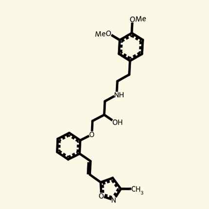 COc1ccc(CCNCC(O)COc2ccccc2C=Cc2cc(C)no2)cc1OC